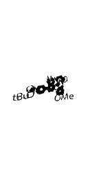 COc1ccc(CN2C(=O)CCN(c3cncc4c(C5=CCN(C(=O)OC(C)(C)C)CC5)cccc34)C2=O)cc1